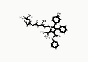 CC(C)c1c(C(=O)Nc2ccccc2)c(-c2ccccc2)c(-c2ccc(F)cc2)n1CC[C@@H](O)CC(=O)C[C@H]1COC(C)(C)O1